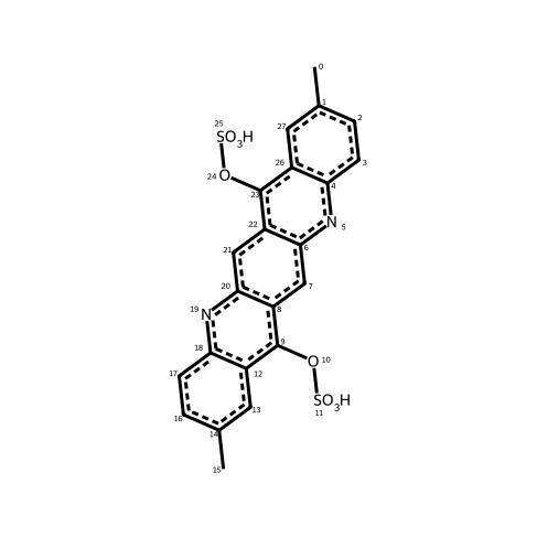 Cc1ccc2nc3cc4c(OS(=O)(=O)O)c5cc(C)ccc5nc4cc3c(OS(=O)(=O)O)c2c1